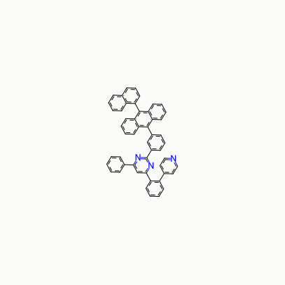 c1ccc(-c2cc(-c3ccccc3-c3ccncc3)nc(-c3cccc(-c4c5ccccc5c(-c5cccc6ccccc56)c5ccccc45)c3)n2)cc1